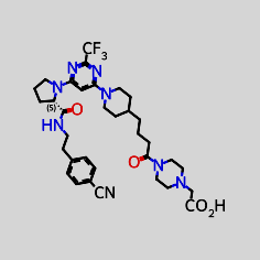 N#Cc1ccc(CCNC(=O)[C@@H]2CCCN2c2cc(N3CCC(CCCC(=O)N4CCN(CC(=O)O)CC4)CC3)nc(C(F)(F)F)n2)cc1